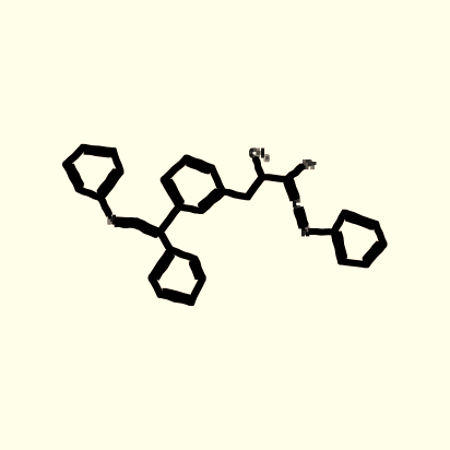 CC(C)C(=C=Nc1ccccc1)C(C)Cc1cccc(C(=C=Nc2ccccc2)c2ccccc2)c1